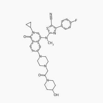 CN(c1nc(-c2ccc(F)cc2)c(C#N)s1)c1cn(C2CC2)c(=O)c2ccc(N3CCN(CC(=O)N4CCC(O)CC4)CC3)cc12